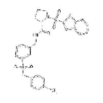 O=C(NCc1cccc(S(=O)(=O)Cc2ccc(C(F)(F)F)cc2)c1)[C@@H]1CCCN1S(=O)(=O)c1cc2ccccc2o1